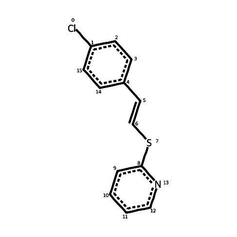 Clc1ccc(/C=C/Sc2ccccn2)cc1